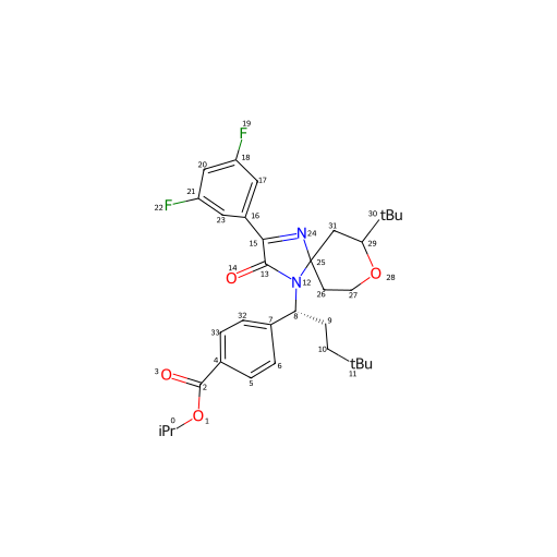 CC(C)OC(=O)c1ccc([C@@H](CCC(C)(C)C)N2C(=O)C(c3cc(F)cc(F)c3)=NC23CCOC(C(C)(C)C)C3)cc1